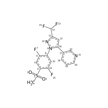 CS(=O)(=O)c1cc(F)c(-n2nc(C(F)F)cc2-c2cccnc2)cc1F